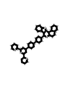 c1ccc(-c2cc(-c3ccc(-c4ccc(-c5nc6ccc7ccccc7c6c6oc7ccccc7c56)cc4)cc3)cc(-c3ccccn3)n2)nc1